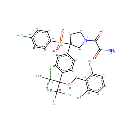 NC(=O)C(=O)N1CCC(c2ccc(C(OCc3c(F)cccc3F)(C(F)(F)F)C(F)(F)F)cc2)(S(=O)(=O)c2ccc(F)cc2)C1